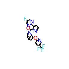 O=C(c1ncccc1-c1ncc(F)cn1)N1CC2C3CC(Oc4ccc(C(F)(F)F)cn4)C1C32